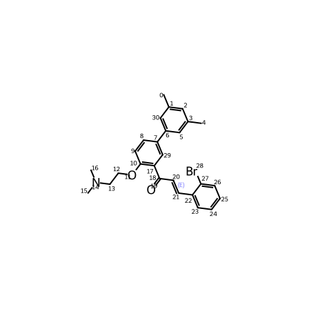 Cc1cc(C)cc(-c2ccc(OCCN(C)C)c(C(=O)/C=C/c3ccccc3Br)c2)c1